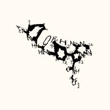 CCc1cccc(NC(=O)Nc2ccc(-c3c(C(=O)NCC(F)(F)F)cn4ncnc(N)c34)cc2F)n1